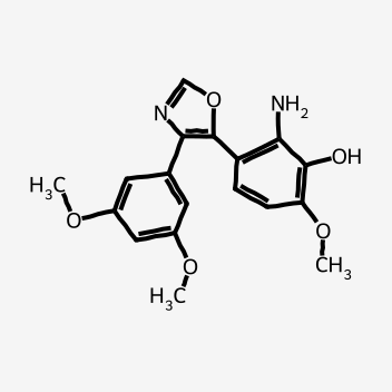 COc1cc(OC)cc(-c2ncoc2-c2ccc(OC)c(O)c2N)c1